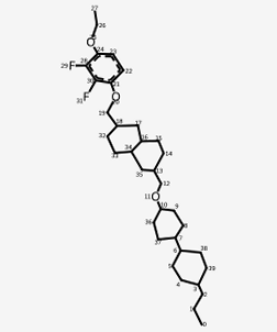 CCCC1CCC(C2CCC(OCC3CCC4CC(COc5ccc(OCC)c(F)c5F)CCC4C3)CC2)CC1